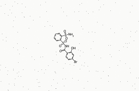 NS(=O)(=O)c1ccccc1S(=O)(=O)NC(=O)c1ccc(Br)cc1O